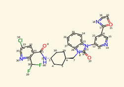 O=C(N[C@H]1CC[C@H](Cn2c(=O)n(-c3cncc(-c4ncco4)c3)c3ccccc32)CC1)c1cc(Cl)cnc1C(F)F